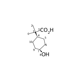 CC(C)(C(=O)O)[C@H]1CC[C@@H](O)CC1